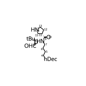 CC(C)(C)OC=O.CCCCCCCCCCCCCCNC(=O)[C@H]1CCNC1